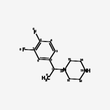 CC(c1ccc(F)c(F)c1)N1CCNCC1